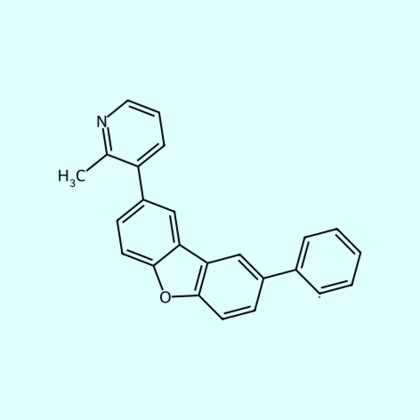 Cc1ncccc1-c1ccc2oc3ccc(-c4[c]cccc4)cc3c2c1